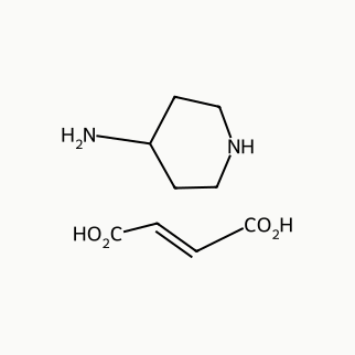 NC1CCNCC1.O=C(O)C=CC(=O)O